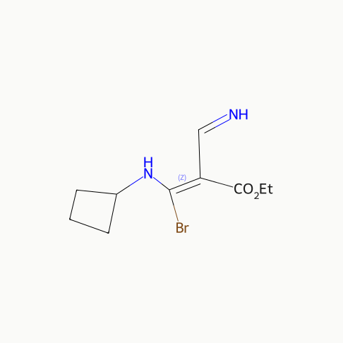 CCOC(=O)/C(C=N)=C(\Br)NC1CCC1